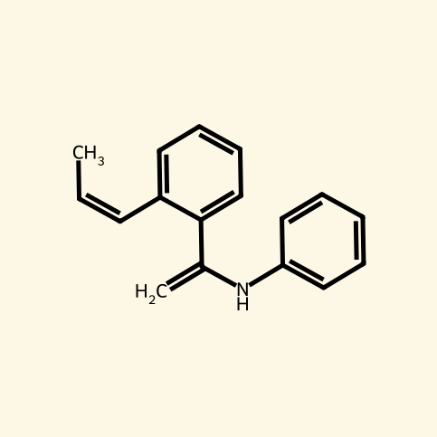 C=C(Nc1ccccc1)c1ccccc1/C=C\C